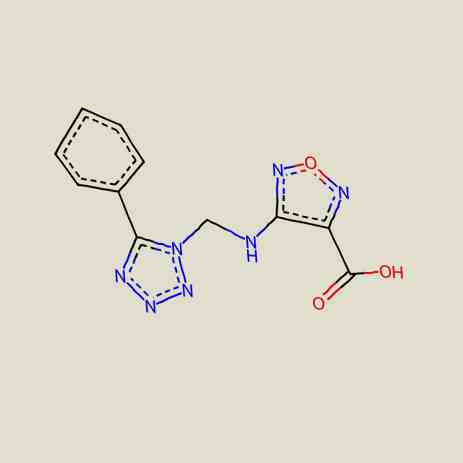 O=C(O)c1nonc1NCn1nnnc1-c1ccccc1